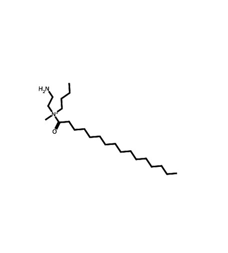 CCCCCCCCCCCCCCCC(=O)[N+](C)(CCN)CCCC